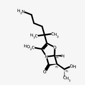 C[C@@H](O)[C@H]1C(=O)N2C(C(=O)O)=C(C(C)(C)CCCN)O[C@H]12